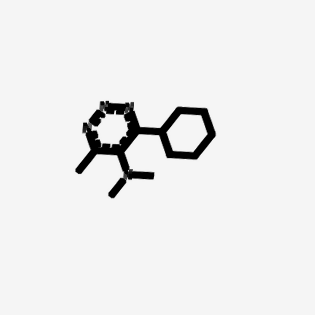 Cc1nnnc(C2CCCCC2)c1N(C)C